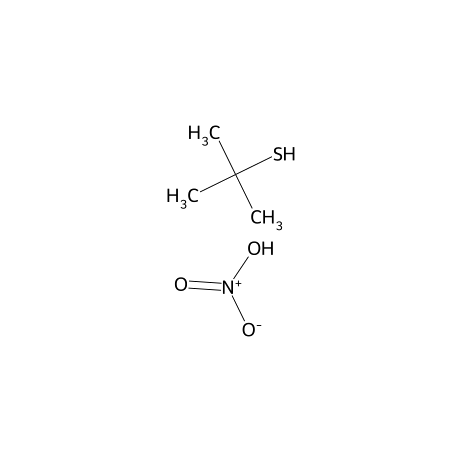 CC(C)(C)S.O=[N+]([O-])O